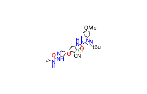 COc1ccc(-n2nc(C(C)(C)C)cc2NC(=O)Nc2ccc(Oc3ccnc(NC(=O)NC4CC4)c3)c(C#N)c2Cl)cc1